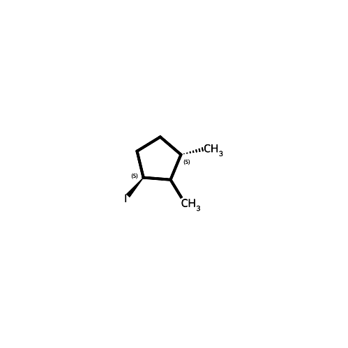 CC1[C@@H](C)CC[C@@H]1I